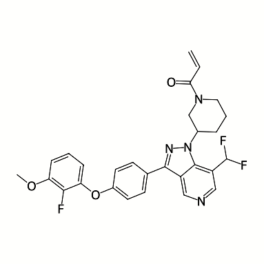 C=CC(=O)N1CCCC(n2nc(-c3ccc(Oc4cccc(OC)c4F)cc3)c3cncc(C(F)F)c32)C1